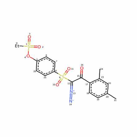 CCS(=O)(=O)Oc1ccc(S(=O)(=O)C(=[N+]=[N-])C(=O)c2ccc(C)cc2C)cc1